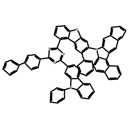 c1ccc(-c2ccc(-c3nc(-c4ccc5c6ccccc6n(-c6ccccc6)c5c4)nc(-c4cccc5oc6cc(-n7c8cc9ccccc9cc8c8c9ccccc9ccc87)c(-c7ccccc7)cc6c45)n3)cc2)cc1